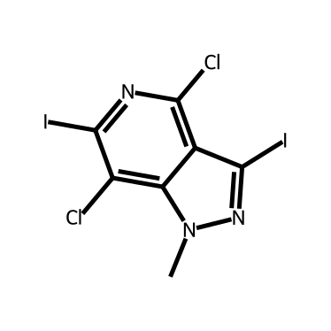 Cn1nc(I)c2c(Cl)nc(I)c(Cl)c21